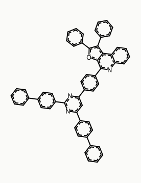 c1ccc(-c2ccc(-c3cc(-c4ccc(-c5nc6ccccc6c6c(-c7ccccc7)c(-c7ccccc7)oc56)cc4)nc(-c4ccc(-c5ccccc5)cc4)n3)cc2)cc1